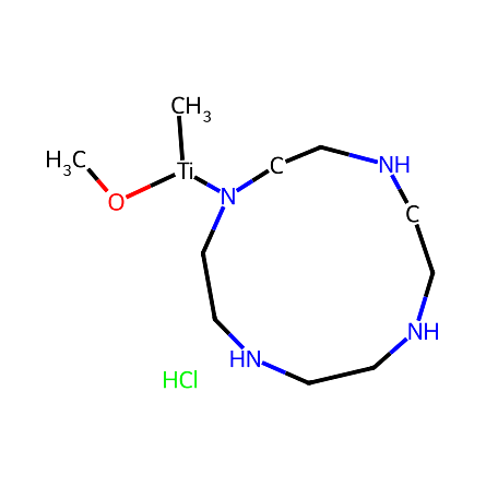 C[O][Ti]([CH3])[N]1CCNCCNCCNCC1.Cl